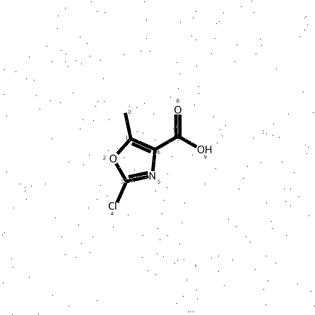 Cc1oc(Cl)nc1C(=O)O